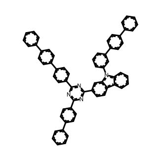 c1ccc(-c2ccc(-c3ccc(-c4nc(-c5ccc(-c6ccccc6)cc5)nc(-c5ccc6c7ccccc7n(-c7cccc(-c8ccc(-c9ccccc9)cc8)c7)c6c5)n4)cc3)cc2)cc1